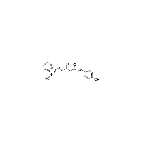 CC(=O)n1cc(/C=C/C(=O)CC(=O)/C=C/c2ccc(O)cc2)c2ccccc21